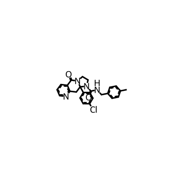 Cc1ccc(CNC(=O)N2CCN3C(=O)c4cccnc4CC23c2ccc(Cl)cc2)cc1